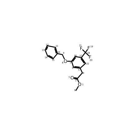 COC(=O)Cc1cc(OCc2ccccc2)cc(C(F)(F)F)c1